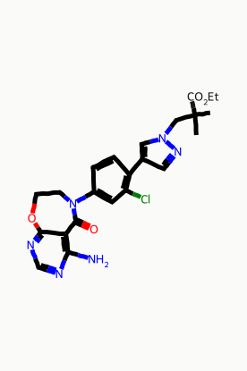 CCOC(=O)C(C)(C)Cn1cc(-c2ccc(N3CCOc4ncnc(N)c4C3=O)cc2Cl)cn1